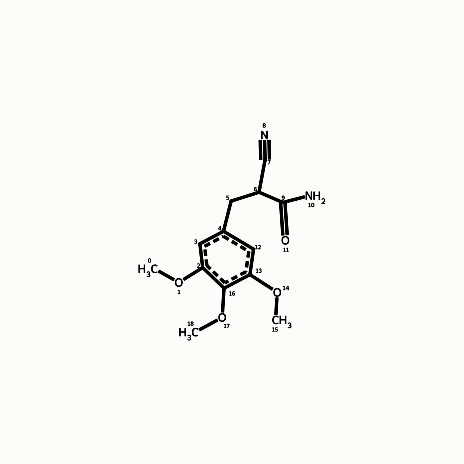 COc1cc(CC(C#N)C(N)=O)cc(OC)c1OC